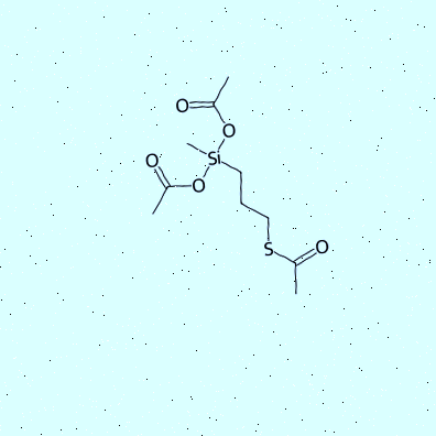 CC(=O)O[Si](C)(CCCSC(C)=O)OC(C)=O